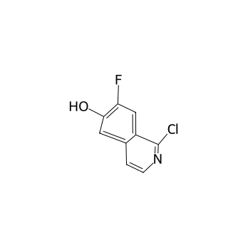 Oc1cc2ccnc(Cl)c2cc1F